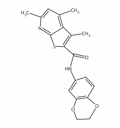 Cc1cc(C)c2c(C)c(C(=O)Nc3ccc4c(c3)OCCO4)sc2n1